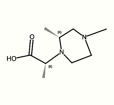 C[C@@H]1CN(C)CCN1[C@H](C)C(=O)O